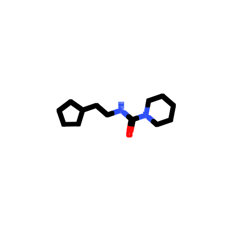 O=C(NCCC1CCCC1)N1CCCCC1